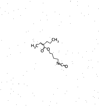 CC=C(CCC)C(=O)OCCCCN=C=O